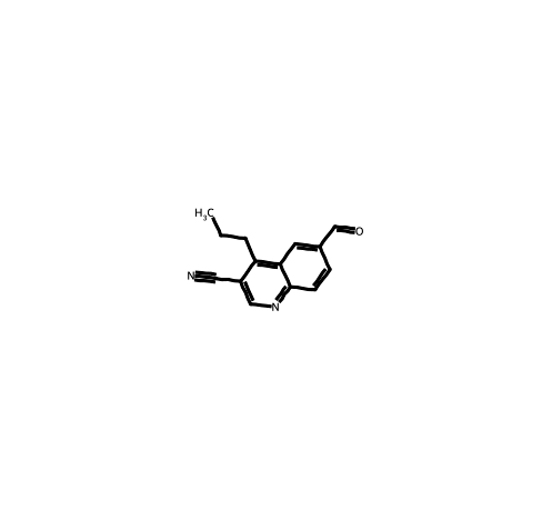 CCCc1c(C#N)cnc2ccc(C=O)cc12